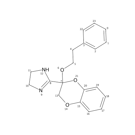 c1ccc(CCOC2(C3=NCCN3)COc3ccccc3O2)cc1